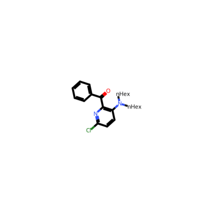 CCCCCCN(CCCCCC)c1ccc(Cl)nc1C(=O)c1ccccc1